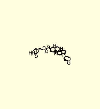 CN(C(=O)OCCN1CCNC(=O)C1)[C@H]1CC[C@@]2(C)[C@H](CC[C@@H]3[C@@H]2CC[C@]2(C)[C@@H](c4ccc(=O)oc4)CC[C@]32O)C1